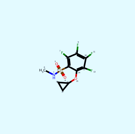 CNS(=O)(=O)c1c(F)c(F)c(F)c(F)c1OC1CC1